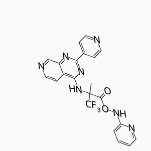 CC(Nc1nc(-c2ccncc2)nc2cnccc12)(C(=O)ONc1ccccn1)C(F)(F)F